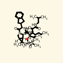 C=C(C)[C@@H](CN(C)S(C)(=O)=O)NC(=O)N[C@H](C(=O)N1C[C@H]2[C@@H]([C@H]1C(=O)NC(CCCC)C(=O)C(=O)NCC(C)C)C2(C)C)C1Cc2ccccc2C1